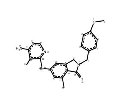 COc1ccc(CN2Cc3cc(Nc4ncnc(N)c4C)cc(C)c3C2=O)cc1